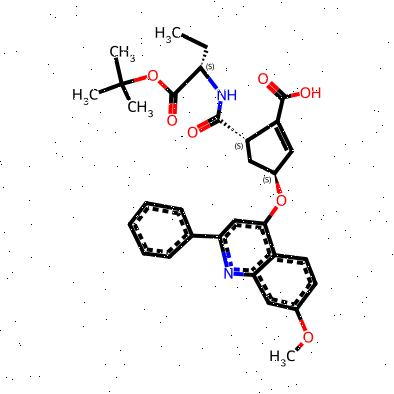 CC[C@H](NC(=O)[C@H]1C[C@H](Oc2cc(-c3ccccc3)nc3cc(OC)ccc23)C=C1C(=O)O)C(=O)OC(C)(C)C